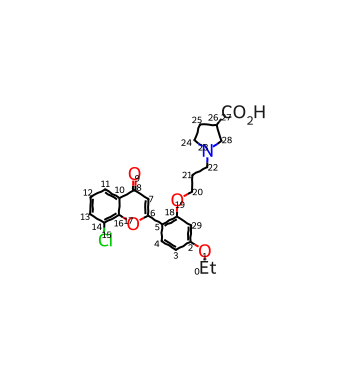 CCOc1ccc(-c2cc(=O)c3cccc(Cl)c3o2)c(OCCCN2CCC(C(=O)O)C2)c1